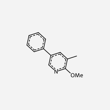 COc1ncc(-c2ccccc2)cc1C